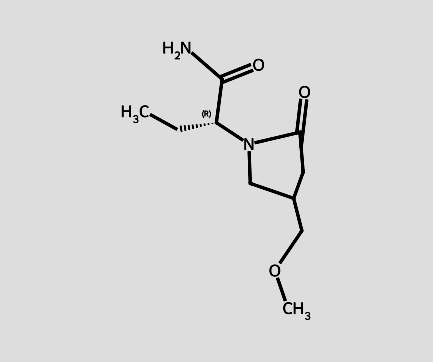 CC[C@H](C(N)=O)N1CC(COC)CC1=O